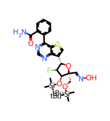 CC(C)(C)[Si](C)(C)OC[C@@]1(/C=N/O)O[C@@H](c2csc3c(-c4ccccc4C(N)=O)ncnc23)[C@H](F)[C@@H]1O[Si](C)(C)C(C)(C)C